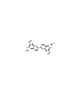 CC(C)c1nc2c3ccsc3c3cc(-c4ccc5c(c4)c4sccc4c4nc(C(C)C)n(C)c54)ccc3c2[nH]1